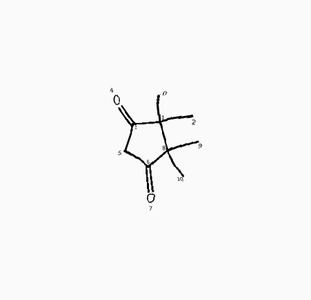 CC1(C)C(=O)CC(=O)C1(C)C